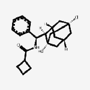 O=C(N[C@@H](c1ccccc1)[C@H]1[C@H]2C[C@@H]3C[C@](Cl)(C2)C[C@@]1(O)C3)C1CCC1